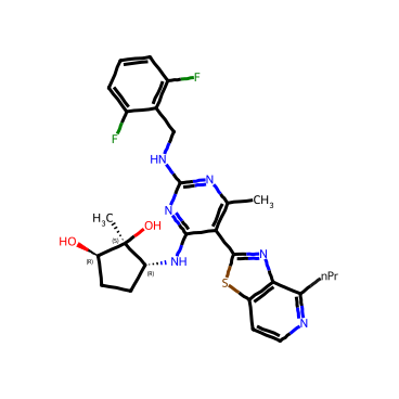 CCCc1nccc2sc(-c3c(C)nc(NCc4c(F)cccc4F)nc3N[C@@H]3CC[C@@H](O)[C@@]3(C)O)nc12